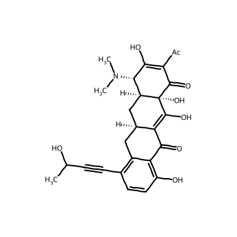 CC(=O)C1=C(O)[C@@H](N(C)C)[C@@H]2C[C@@H]3Cc4c(C#CC(C)O)ccc(O)c4C(=O)C3=C(O)[C@]2(O)C1=O